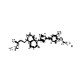 CC(C)(C)OC(=O)CCc1nccc2c(-c3noc(-c4ccc(OCC(F)(F)F)c(Cl)c4)n3)cccc12